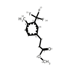 COC(=O)CCc1ccc(C)c(C(F)(F)F)c1